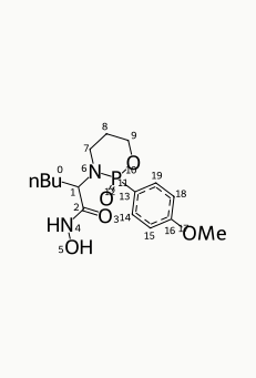 CCCCC(C(=O)NO)N1CCCOP1(=O)c1ccc(OC)cc1